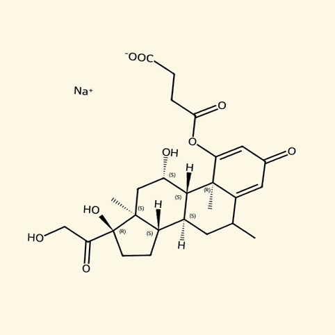 CC1C[C@@H]2[C@H]([C@@H](O)C[C@@]3(C)[C@H]2CC[C@]3(O)C(=O)CO)[C@@]2(C)C(OC(=O)CCC(=O)[O-])=CC(=O)C=C12.[Na+]